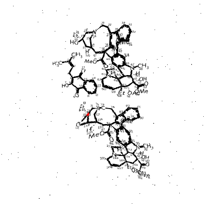 CC(C)=CCC1=C(O)C(=O)c2ccccc2C1=O.CC[C@@]1(O)C[C@H]2C[N@](CCc3c([nH]c4ccccc34)[C@@](C(=O)OC)(c3cc4c(cc3OC)N(C)[C@H]3[C@@](O)(C(=O)OC)[C@H](OC(C)=O)[C@]5(CC)C=CCN6CC[C@]43[C@@H]65)C2)C1.CC[C@]12C[N@@]3CCc4c([nH]c5ccccc45)[C@@](C(=O)OC)(c4cc5c(cc4OC)N(C)[C@H]4[C@@](O)(C(=O)OC)[C@H](OC(C)=O)[C@]6(CC)C=CCN7CC[C@]54[C@@H]76)C[C@H](C3)[C@H]1O2